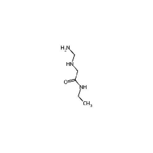 CCNC(=O)CNCN